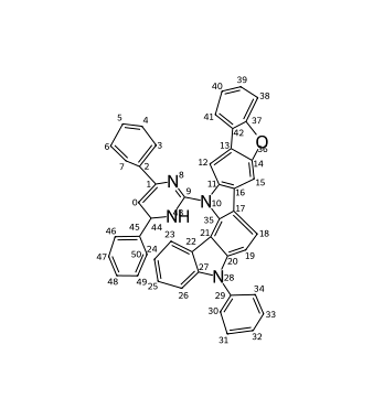 C1=C(c2ccccc2)N=C(n2c3cc4c(cc3c3ccc5c(c6ccccc6n5-c5ccccc5)c32)oc2ccccc24)NC1c1ccccc1